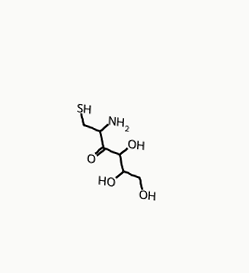 NC(CS)C(=O)C(O)C(O)CO